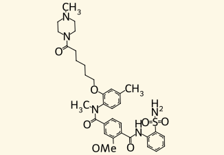 COc1cc(C(=O)N(C)c2ccc(C)cc2OCCCCCC(=O)N2CCN(C)CC2)ccc1C(=O)Nc1ccccc1S(N)(=O)=O